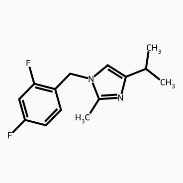 Cc1nc(C(C)C)cn1Cc1ccc(F)cc1F